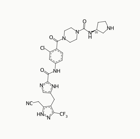 N#CCc1[nH]nc(C(F)(F)F)c1Cc1cnc(C(=O)Nc2ccc(C(=O)N3CCN(C(=O)N[C@H]4CCNC4)CC3)c(Cl)c2)[nH]1